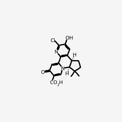 CC1(C)CC[C@@H]2c3cc(O)c(Cl)nc3-c3cc(=O)c(C(=O)O)cn3[C@@H]21